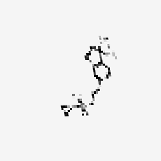 CC1(C)C=Nc2cc(CCCS(=O)(=O)C3CC3)ccc21